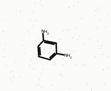 Nc1[c]c(N)c[c]c1